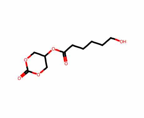 O=C(CCCCCO)OC1COC(=O)OC1